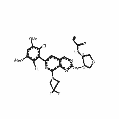 C=CC(=O)N[C@H]1COC[C@H]1Nc1ncc2cc(-c3c(Cl)c(OC)cc(OC)c3Cl)nc(N3CC(F)(F)C3)c2n1